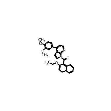 CCOC1=CCC2C=CC=CC2=C1C(=O)n1ccc2c(-c3ccc(OC)c(OC)c3)ccnc21